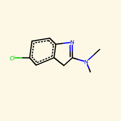 CN(C)C1=Nc2ccc(Cl)cc2C1